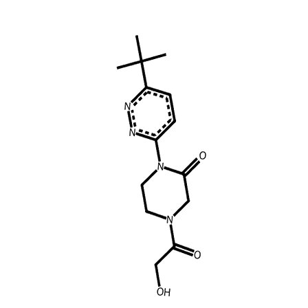 CC(C)(C)c1ccc(N2CCN(C(=O)CO)CC2=O)nn1